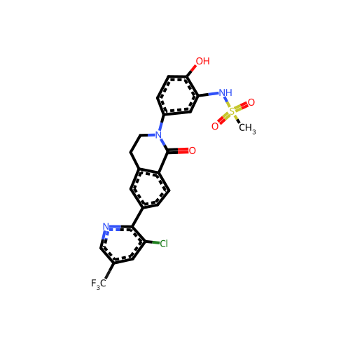 CS(=O)(=O)Nc1cc(N2CCc3cc(-c4ncc(C(F)(F)F)cc4Cl)ccc3C2=O)ccc1O